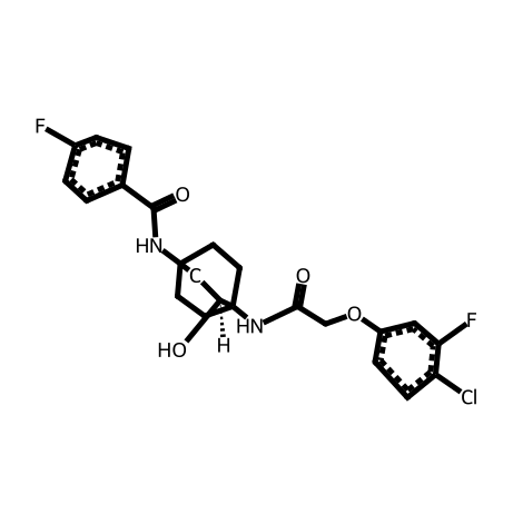 O=C(COc1ccc(Cl)c(F)c1)NC12CCC(NC(=O)c3ccc(F)cc3)(CC1)C[C@@H]2O